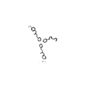 CCN(CC)c1ccc2cc(/C=C/c3ccc(N(c4ccc(/C=C/c5cc6ccc(N(CC)CC)cc6oc5=O)cc4)c4ccc(-c5ccc(-c6ccc(C=O)s6)s5)cc4)cc3)c(=O)oc2c1